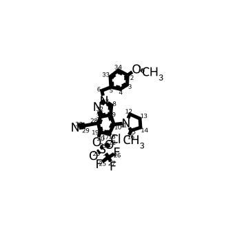 COc1ccc(Cn2cc3c(N4CCCC4C)c(Cl)c(OS(=O)(=O)C(F)(F)F)c(C#N)c3n2)cc1